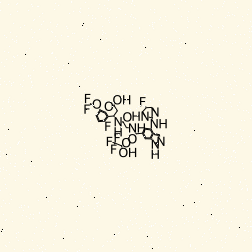 O=C(O)C(F)(F)F.O=C(O)CC(NC(=O)CNC(=O)c1cc(NC2=NCC(F)CN2)c2cn[nH]c2c1)c1cc(OC(F)F)ccc1F